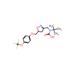 CC(C)(C)N(CC1=NOC(COc2ccc(OC(F)(F)F)cc2)C1)C(=O)O